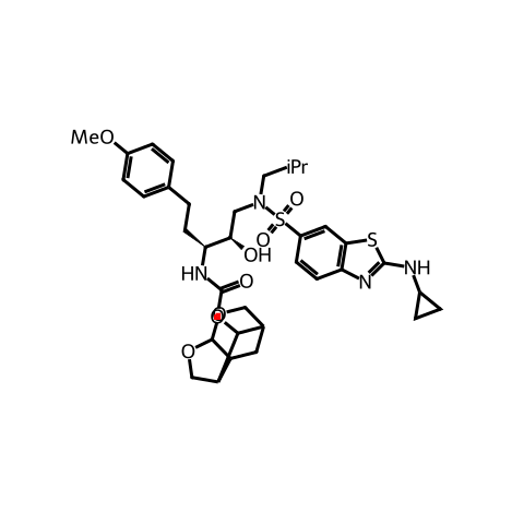 COc1ccc(CC[C@H](NC(=O)OC2C3COC4OCC2C4C3)[C@H](O)CN(CC(C)C)S(=O)(=O)c2ccc3nc(NC4CC4)sc3c2)cc1